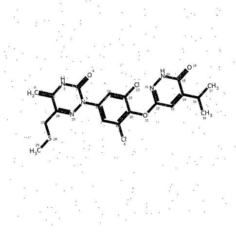 C=C1NC(=O)N(c2cc(Cl)c(Oc3cc(C(C)C)c(=O)[nH]n3)c(Cl)c2)N=C1CSC